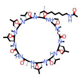 CC[C@H]1NC(=O)[C@@H](C[C@H](C)CCCCCCNC(C)=O)N(C)C(=O)[C@@H](C(C)C)N(C)C(=O)[C@@H](CC(C)C)N(C)C(=O)[C@H](CC(C)C)N(C)C(=O)[C@H](C)NC(=O)[C@@H](C)NC(=O)[C@@H](CC(C)C)N(C)C(=O)[C@@H](C(C)C)NC(=O)[C@H](CC(C)C)N(C)C(=O)CN(C)C1=O